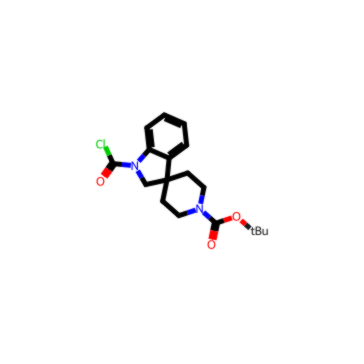 CC(C)(C)OC(=O)N1CCC2(CC1)CN(C(=O)Cl)c1ccccc12